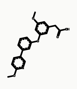 COc1cc(CC(=O)O)cc(Oc2cccc(-c3ccc(OC)nc3)c2)c1